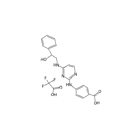 O=C(O)C(F)(F)F.O=C(O)c1ccc(Nc2nccc(NCC(O)c3ccccc3)n2)cc1